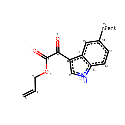 C=CCOC(=O)C(=O)c1c[nH]c2ccc(CCCCC)cc12